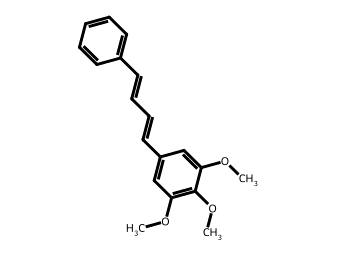 COc1cc(/C=C/C=C/c2ccccc2)cc(OC)c1OC